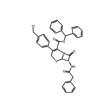 O=C(Cc1ccccc1)N[C@@H]1C(=O)N2C(C(=O)OC(c3ccccc3)c3ccccc3)=C(c3ccc(CCl)cc3)CSC12